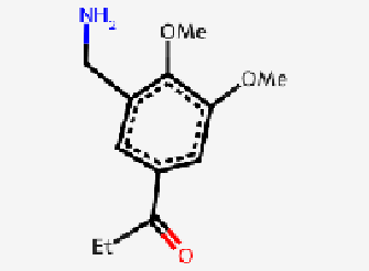 [CH2]CC(=O)c1cc(CN)c(OC)c(OC)c1